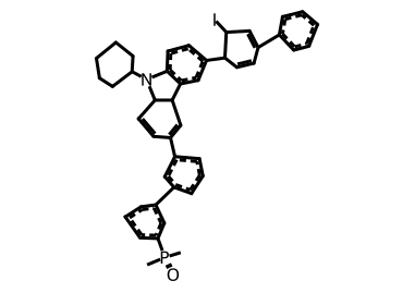 CP(C)(=O)c1cccc(-c2cccc(C3=CC4c5cc(C6C=CC(c7ccccc7)=CC6I)ccc5N(C5CCCCC5)C4C=C3)c2)c1